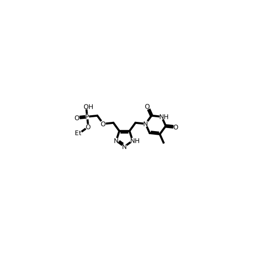 CCOP(=O)(O)COCc1nn[nH]c1Cn1cc(C)c(=O)[nH]c1=O